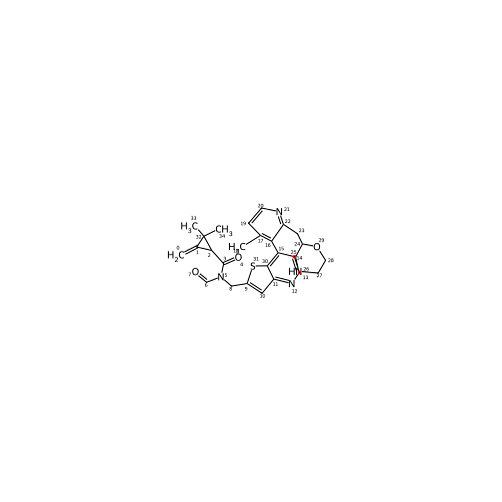 C=C1C(C(=O)N(C=O)Cc2cc3nccc(-c4c(C)ccnc4CC4CNCCO4)c3s2)C1(C)C